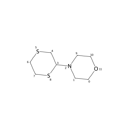 C1CN(C2CSCCS2)CCO1